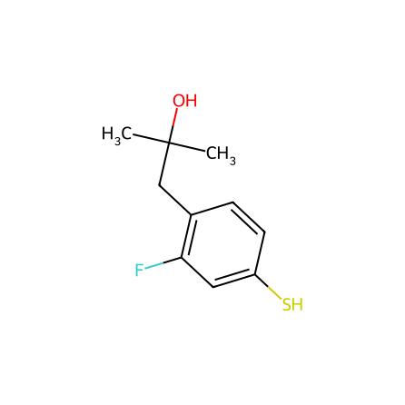 CC(C)(O)Cc1ccc(S)cc1F